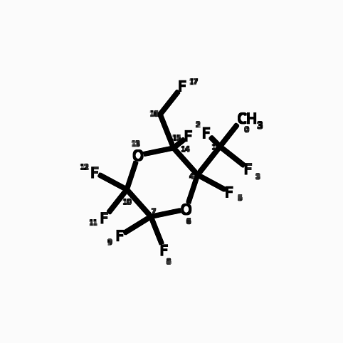 CC(F)(F)C1(F)OC(F)(F)C(F)(F)OC1(F)CF